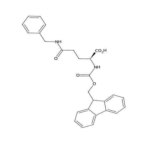 O=C(CC[C@H](NC(=O)OCC1c2ccccc2-c2ccccc21)C(=O)O)NCc1ccccc1